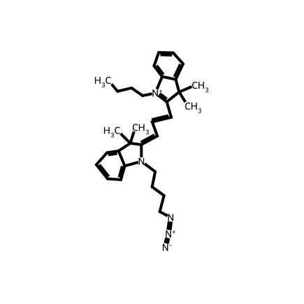 CCCC[N+]1=C(/C=C/C=C2/N(CCCCN=[N+]=[N-])c3ccccc3C2(C)C)C(C)(C)c2ccccc21